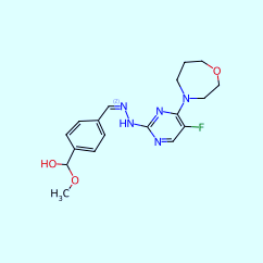 COC(O)c1ccc(/C=N\Nc2ncc(F)c(N3CCCOCC3)n2)cc1